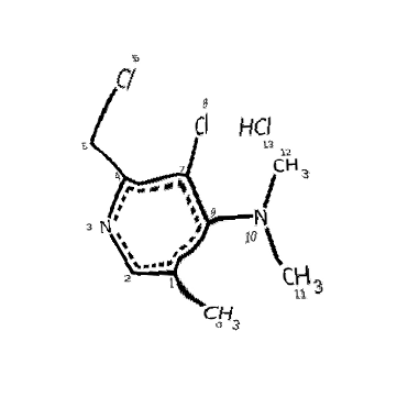 Cc1cnc(CCl)c(Cl)c1N(C)C.Cl